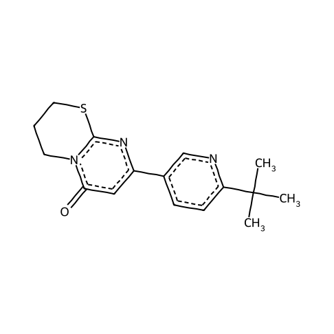 CC(C)(C)c1ccc(-c2cc(=O)n3c(n2)SCCC3)cn1